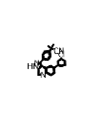 CC(C)(C#N)c1ccc(-c2n[nH]c3cnc4ccc(-c5cccc(Cl)c5)cc4c23)cc1